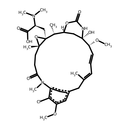 COc1cc2cc(c1Cl)N(C)C(=O)CC[C@]1(C)O[C@@]1(C[C@@H](C(=O)O)N(C)C)[C@H](C)[C@@H]1C[C@@](O)(NC(=O)O1)[C@H](OC)/C=C/C=C(\C)C2